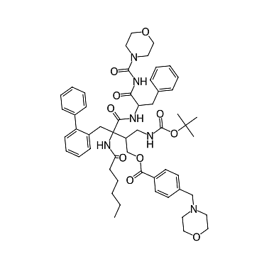 CCCCCC(=O)NC(Cc1ccccc1-c1ccccc1)(C(=O)NC(Cc1ccccc1)C(=O)NC(=O)N1CCOCC1)C(CNC(=O)OC(C)(C)C)COC(=O)c1ccc(CN2CCOCC2)cc1